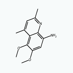 COc1cc(N)c2nc(C)cc(C)c2c1OC